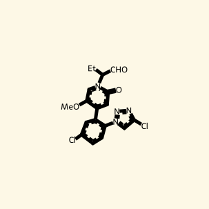 CCC(C=O)n1cc(OC)c(-c2cc(Cl)ccc2-n2cc(Cl)nn2)cc1=O